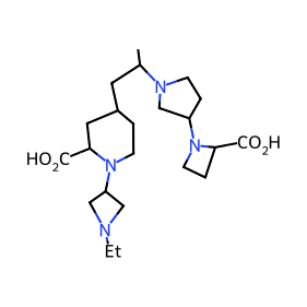 CCN1CC(N2CCC(CC(C)N3CCC(N4CCC4C(=O)O)C3)CC2C(=O)O)C1